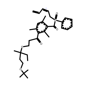 C=C/C=C\CP(=O)(C(=O)c1c(C)cc(C)c(C(=O)CCOC(C)(CC)CCOC(C)(C)C)c1C)c1ccccc1